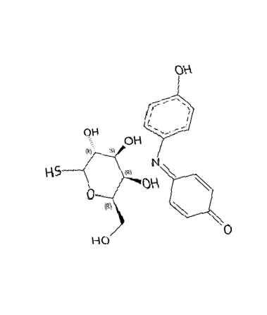 O=C1C=CC(=Nc2ccc(O)cc2)C=C1.OC[C@H]1OC(S)[C@H](O)[C@@H](O)[C@H]1O